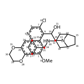 COc1ccc2ncc(Cl)c(C(O)CN3C4CCC3CC(NCc3ccc5c(c3)OCCO5)C4)c2n1